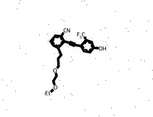 CCOCCOCCCc1cccc(C#N)c1C#Cc1ccc(O)cc1C(F)(F)F